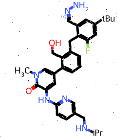 CC(C)NCc1ccc(Nc2cc(-c3cccc(Cc4c(F)cc(C(C)(C)C)cc4/C=N\N)c3CO)cn(C)c2=O)nc1